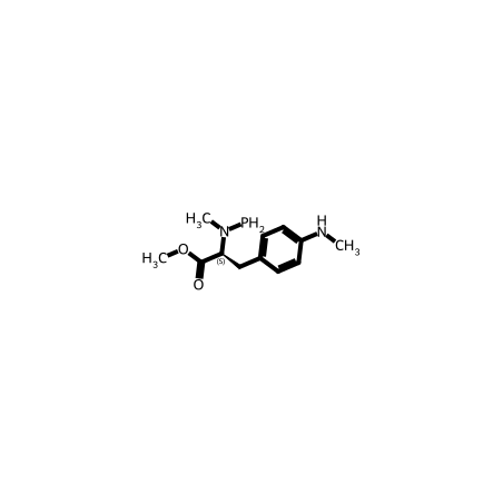 CNc1ccc(C[C@@H](C(=O)OC)N(C)P)cc1